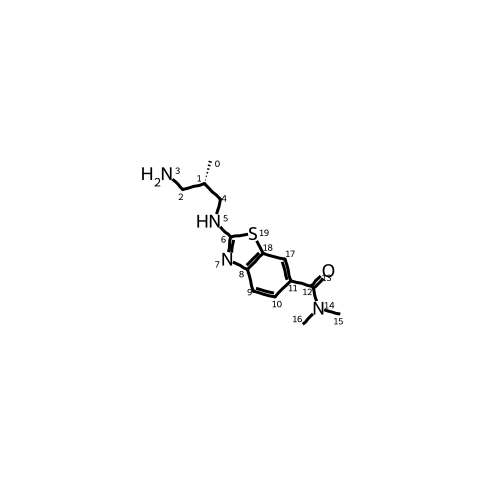 C[C@@H](CN)CNc1nc2ccc(C(=O)N(C)C)cc2s1